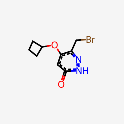 O=c1cc(OC2CCC2)c(CBr)n[nH]1